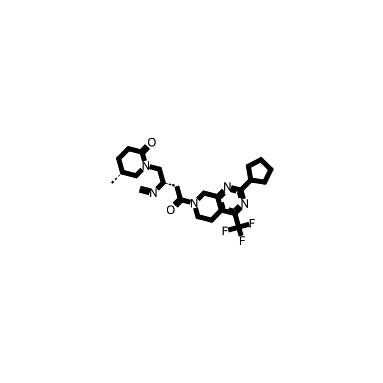 C=N[C@@H](CC(=O)N1CCc2c(nc(C3CCCC3)nc2C(F)(F)F)C1)CN1C[C@H](C)CCC1=O